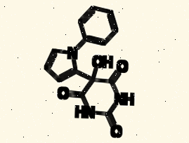 O=C1NC(=O)C(O)(c2cccn2-c2ccccc2)C(=O)N1